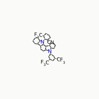 N#Cc1cccc(C(F)(F)F)c1-n1c2ccccc2c2ccc3c(c4ccccc4n3-c3cc(C(F)(F)F)cc(C(F)(F)F)c3)c21